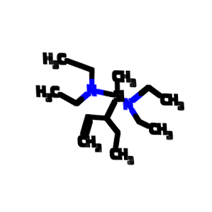 C=CC(CC)[Si](C)(N(CC)CC)N(CC)CC